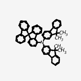 CC1(C)C2=CC=CCC2c2ccc(N(c3ccc4c(c3)C(C)(C)c3ccccc3-4)c3cccc4c3-c3ccccc3C43c4ccccc4-c4ccccc43)cc21